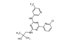 CC(C)(O)CNc1nc(Nc2cncc(C(F)(F)F)c2)nc(-c2cccc(Cl)n2)n1